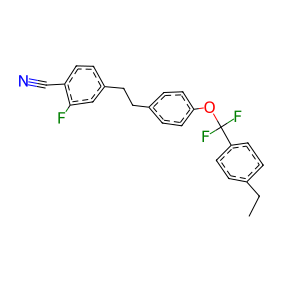 CCc1ccc(C(F)(F)Oc2ccc(CCc3ccc(C#N)c(F)c3)cc2)cc1